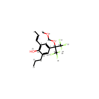 C/C=C/c1cc(C(OCOC)(C(F)(F)F)C(F)(F)F)cc(CCC)c1O